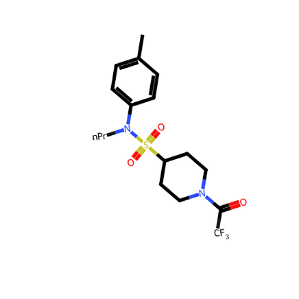 CCCN(c1ccc(C)cc1)S(=O)(=O)C1CCN(C(=O)C(F)(F)F)CC1